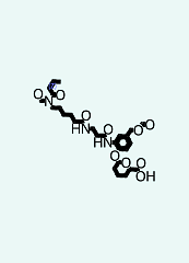 C/C=C\C(=O)N(C=O)CCCCCC(=O)NCCC(=O)Nc1cc(COC=O)ccc1OC1CCCC(C(=O)O)O1